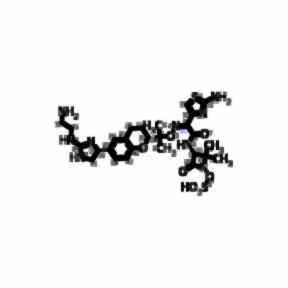 CC(C)(O/N=C(\C(=O)N[C@@H]1C(=O)N(OS(=O)(=O)O)C1(C)C)c1csc(N)n1)[C@H]1CCc2cc([C@H]3CNC(NCCN)=N3)ccc2O1